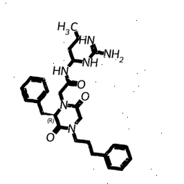 CCCC(NC(=N)N)NC(=O)CN1C(=O)CN(CCCc2ccccc2)C(=O)[C@H]1Cc1ccccc1